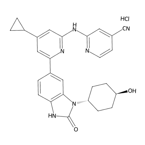 Cl.N#Cc1ccnc(Nc2cc(C3CC3)cc(-c3ccc4[nH]c(=O)n([C@H]5CC[C@H](O)CC5)c4c3)n2)c1